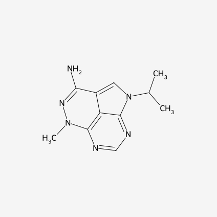 CC(C)n1cc2c3c(ncnc31)N(C)N=C2N